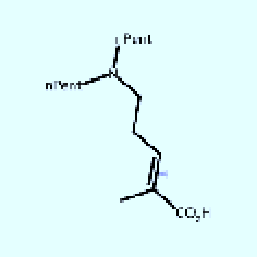 CCCCCN(CC/C=C(\C)C(=O)O)CCCCC